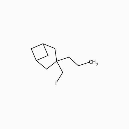 CCCC1(CI)CC2CC(C2)C1